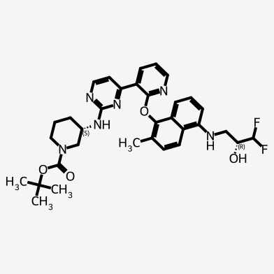 Cc1ccc2c(NC[C@@H](O)C(F)F)cccc2c1Oc1ncccc1-c1ccnc(N[C@H]2CCCN(C(=O)OC(C)(C)C)C2)n1